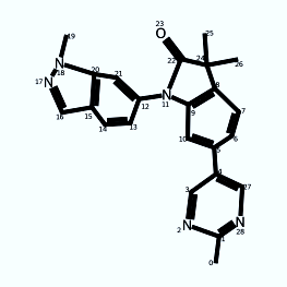 Cc1ncc(-c2ccc3c(c2)N(c2ccc4cnn(C)c4c2)C(=O)C3(C)C)cn1